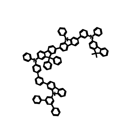 CC1(C)c2ccccc2-c2cc(N(c3ccccc3)c3cccc(-c4ccc5c6ccc(-c7ccc8c(c7)C(c7ccccc7)(c7ccccc7)c7cc(N(c9ccccc9)c9ccc(-c%10cccc(-c%11ccc%12c%13ccccc%13n(-c%13cc(-c%14ccccc%14)cc(-c%14ccccc%14)c%13)c%12c%11)c%10)cc9)ccc7-8)cc6n(-c6ccccc6)c5c4)c3)ccc21